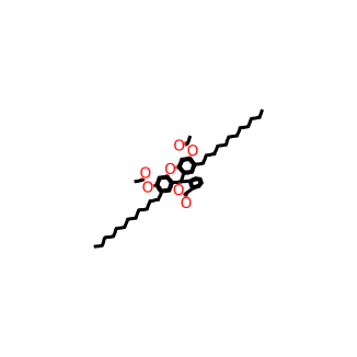 CCCCCCCCCCCCc1cc2c(cc1OC(C)=O)Oc1cc(OC(C)=O)c(CCCCCCCCCCCC)cc1C21OC(=O)c2ccccc21